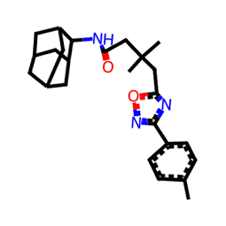 Cc1ccc(-c2noc(CC(C)(C)CC(=O)NC3C4CC5CC(C4)CC3C5)n2)cc1